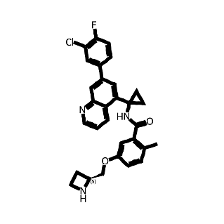 Cc1ccc(OC[C@@H]2CCN2)cc1C(=O)NC1(c2cc(-c3ccc(F)c(Cl)c3)cc3ncccc23)CC1